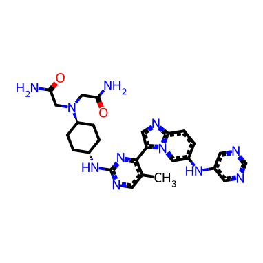 Cc1cnc(N[C@H]2CC[C@H](N(CC(N)=O)CC(N)=O)CC2)nc1-c1cnc2ccc(Nc3cncnc3)cn12